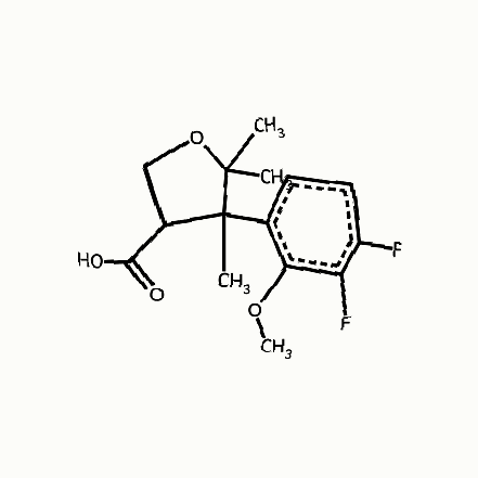 COc1c(C2(C)C(C(=O)O)COC2(C)C)ccc(F)c1F